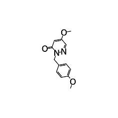 COc1ccc(Cn2ncc(OC)cc2=O)cc1